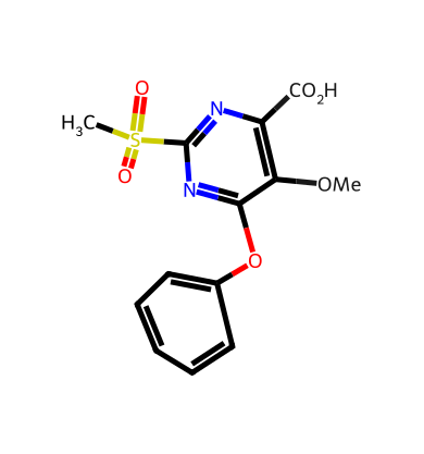 COc1c(Oc2ccccc2)nc(S(C)(=O)=O)nc1C(=O)O